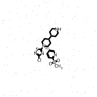 CS(=O)(=O)c1ccc([C@H]2CC(C3CCNCC3)CCN2c2nc(Cl)ns2)cn1